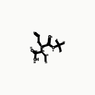 C=CCN(C(=O)OC(C)(C)C)[C@@H](CC)C(=O)O